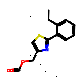 CCc1ccccc1-c1nc(CO[C]=O)cs1